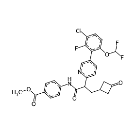 COC(=O)c1ccc(NC(=O)C(CC2CC(=O)C2)c2ccc(-c3c(OC(F)F)ccc(Cl)c3F)cn2)cc1